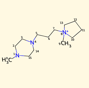 CN1CCN(CCC[N+]2(C)CCCC2)CC1